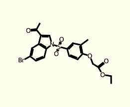 CCOC(=O)COc1ccc(S(=O)(=O)n2cc(C(C)=O)c3cc(Br)ccc32)cc1C